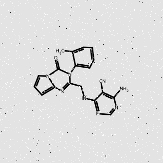 Cc1ccccc1-n1c(CNc2ncnc(N)c2C#N)nc2cccn2c1=O